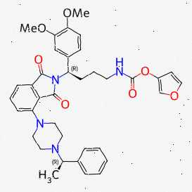 COc1ccc([C@@H](CCCNC(=O)Oc2ccoc2)N2C(=O)c3cccc(N4CCN([C@H](C)c5ccccc5)CC4)c3C2=O)cc1OC